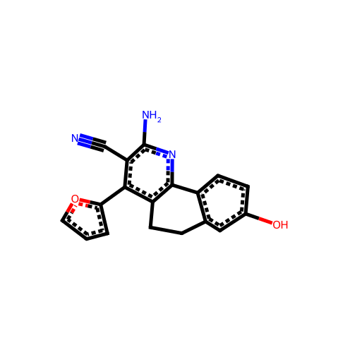 N#Cc1c(N)nc2c(c1-c1ccco1)CCc1cc(O)ccc1-2